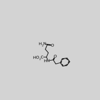 NC(=O)CCC(NC(=O)Cc1ccccc1)C(=O)O